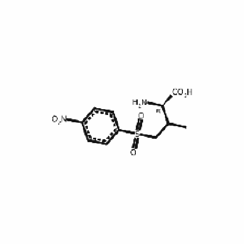 CC(CS(=O)(=O)c1ccc([N+](=O)[O-])cc1)[C@@H](N)C(=O)O